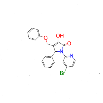 O=C1C(O)=C(COc2ccccc2)C(c2ccccc2)N1c1cc(Br)ccn1